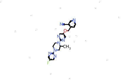 CC1CN(c2ncc(F)cn2)CCN1c1ncc(OCc2ccncc2C#N)cn1